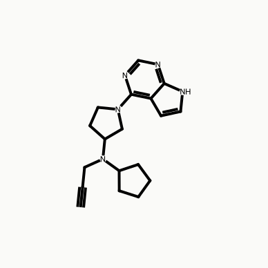 C#CCN(C1CCCC1)C1CCN(c2ncnc3[nH]ccc23)C1